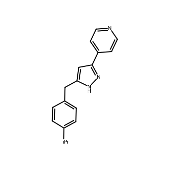 CC(C)c1ccc(Cc2cc(-c3ccncc3)n[nH]2)cc1